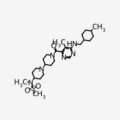 Cc1c(NCC2CCC(C)CC2)ncnc1C(=O)N1CCC(N2CCC(N(C)S(C)(=O)=O)CC2)CC1